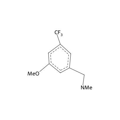 CNCc1cc(OC)cc(C(F)(F)F)c1